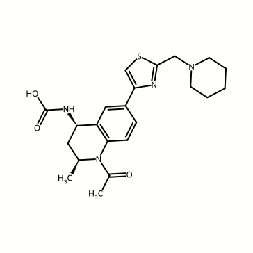 CC(=O)N1c2ccc(-c3csc(CN4CCCCC4)n3)cc2[C@H](NC(=O)O)C[C@@H]1C